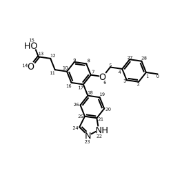 Cc1ccc(COc2ccc(CCC(=O)O)cc2-c2ccc3[nH]ncc3c2)cc1